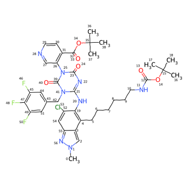 Cn1cc2c(CCCCCCNC(=O)OC(C)(C)C)c(Nc3nc(=O)n(-c4cnccc4C(=O)OC(C)(C)C)c(=O)n3Cc3cc(F)c(F)c(F)c3)c(Cl)cc2n1